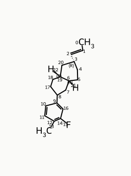 CC=C[C@@H]1CC[C@@H]2CC(c3ccc(C)c(F)c3)CC[C@@H]2C1